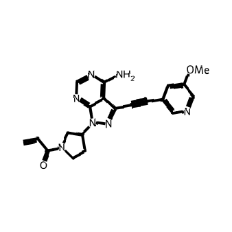 C=CC(=O)N1CCC(n2nc(C#Cc3cncc(OC)c3)c3c(N)ncnc32)C1